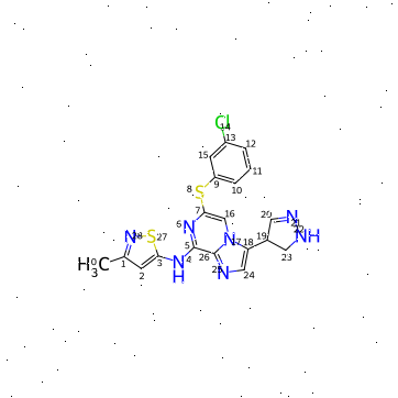 Cc1cc(Nc2nc(Sc3cccc(Cl)c3)cn3c(C4C=NNC4)cnc23)sn1